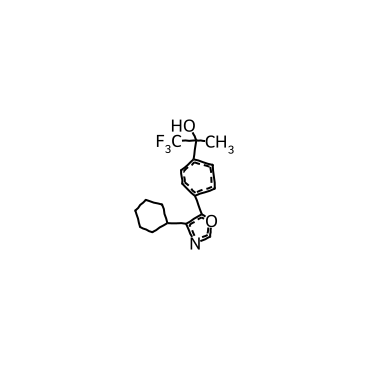 CC(O)(c1ccc(-c2ocnc2C2CCCCC2)cc1)C(F)(F)F